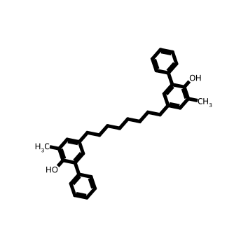 Cc1cc(CCCCCCCCc2cc(C)c(O)c(-c3ccccc3)c2)cc(-c2ccccc2)c1O